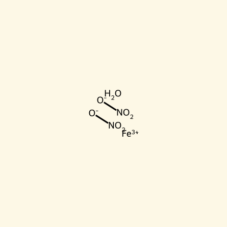 O.O=[N+]([O-])[O-].O=[N+]([O-])[O-].[Fe+3]